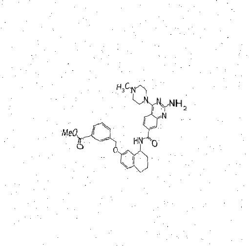 COC(=O)c1cccc(COc2ccc3c(c2)C(NC(=O)c2ccc4c(N5CCN(C)CC5)nc(N)nc4c2)CCC3)c1